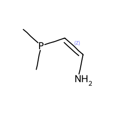 CP(C)/C=C\N